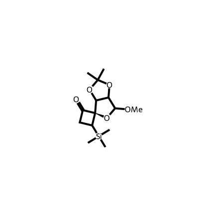 COC1O[C@@]2(C(=O)CC2[Si](C)(C)C)C2OC(C)(C)OC12